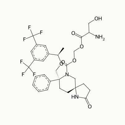 C[C@@H](OC[C@@]1(c2ccccc2)CC[C@]2(CCC(=O)N2)CN1C(=O)OCOC(=O)C(N)CO)c1cc(C(F)(F)F)cc(C(F)(F)F)c1